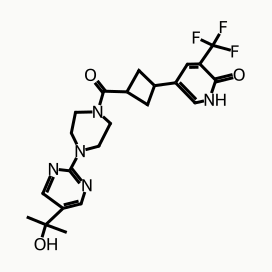 CC(C)(O)c1cnc(N2CCN(C(=O)C3CC(c4c[nH]c(=O)c(C(F)(F)F)c4)C3)CC2)nc1